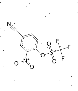 N#Cc1ccc(OS(=O)(=O)C(F)(F)F)c([N+](=O)[O-])c1